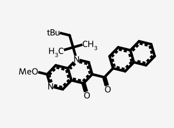 COc1cc2c(cn1)c(=O)c(C(=O)c1ccc3ccccc3c1)cn2C(C)(C)CC(C)(C)C